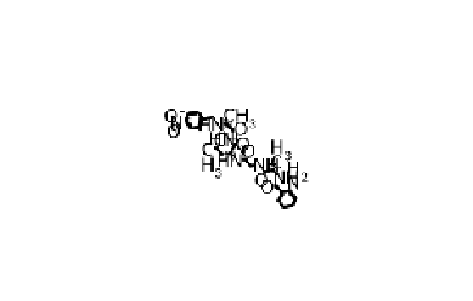 CC(C)C[C@H](NC(=O)CNC(=O)[C@H](C)NC(=O)c1ccccc1N)C(=O)NC(=O)[C@H](C)NCc1ccc([N+](=O)[O-])cc1